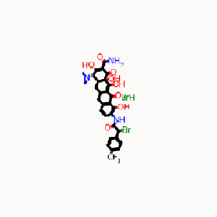 Br.CN(C)[C@@H]1C(O)=C(C(N)=O)C(=O)C2(O)C(O)=C3C(=O)c4c(ccc(NC(=O)C(Br)c5ccc(C(F)(F)F)cc5)c4O)CC3CC12